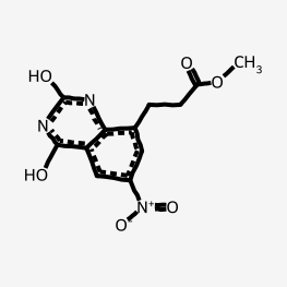 COC(=O)CCc1cc([N+](=O)[O-])cc2c(O)nc(O)nc12